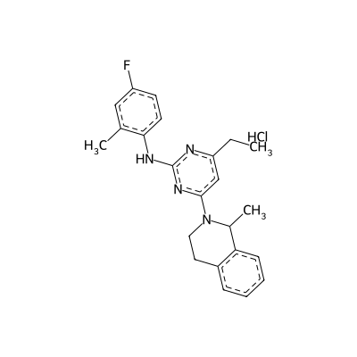 CCc1cc(N2CCc3ccccc3C2C)nc(Nc2ccc(F)cc2C)n1.Cl